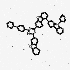 c1ccc(-c2ccc(-c3nc(-c4ccc5c(c4)oc4ccccc45)nc(-c4ccc5c(c4)oc4cccc(-c6ccc7c8ccccc8n(-c8ccccc8)c7c6)c45)n3)cc2)cc1